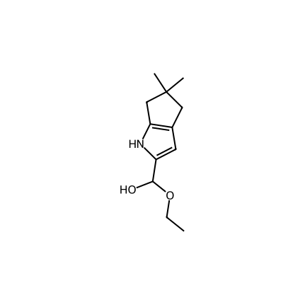 CCOC(O)c1cc2c([nH]1)CC(C)(C)C2